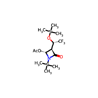 CC(=O)O[C@@H]1[C@@H]([C@H](O[Si](C)(C)C)C(F)(F)F)C(=O)N1[Si](C)(C)C